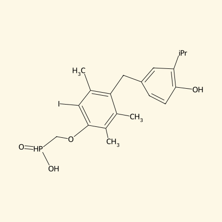 Cc1c(C)c(OC[PH](=O)O)c(I)c(C)c1Cc1ccc(O)c(C(C)C)c1